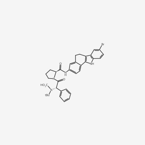 CC(C)(C)N(C(=O)O)[C@H](C(=O)N1CCC[C@H]1C(=O)Nc1ccc2c(c1)CCc1c-2[nH]c2ccc(Br)cc12)c1ccccc1